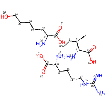 CC[C@@H](C)[C@@H](N)C(=O)O.N=C(N)NCCCC[C@@H](N)C(=O)O.NC(CCCCCO)C(=O)O